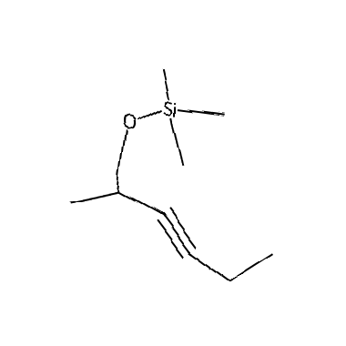 CCC#CC(C)O[Si](C)(C)C